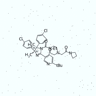 CCOc1cc(C(C)(C)C)ncc1C1=N[C@](C)(c2ccc(Cl)cc2)[C@@](C)(c2ccc(Cl)cc2)N1C(=O)N1CCN(CC(=O)N2CCC2)CC1